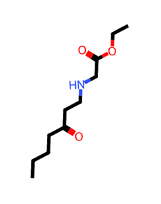 CCCCC(=O)CCNCC(=O)OCC